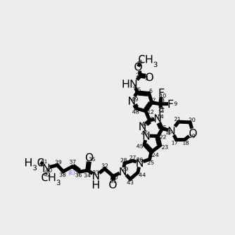 COC(=O)Nc1cc(C(F)(F)F)c(-c2nc(N3CCOCC3)c3cc(CN4CCN(C(=O)CNC(=O)/C=C/CCN(C)C)CC4)cn3n2)cn1